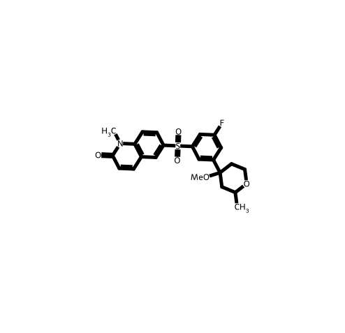 COC1(c2cc(F)cc(S(=O)(=O)c3ccc4c(ccc(=O)n4C)c3)c2)CCOC(C)C1